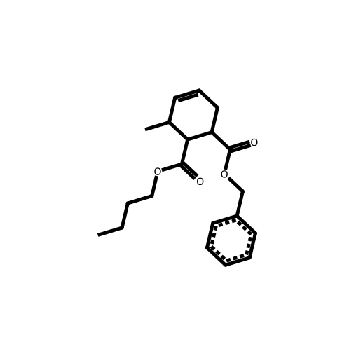 CCCCOC(=O)C1C(C)C=CCC1C(=O)OCc1ccccc1